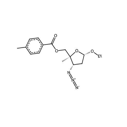 CCO[C@@H]1C[C@H](N=[N+]=[N-])[C@@](C)(COC(=O)c2ccc(C)cc2)O1